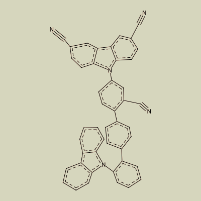 N#Cc1ccc2c(c1)c1cc(C#N)ccc1n2-c1ccc(-c2ccc(-c3ccccc3-n3c4ccccc4c4ccccc43)cc2)c(C#N)c1